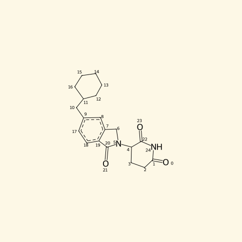 O=C1CCC(N2Cc3cc(CC4CCCCC4)ccc3C2=O)C(=O)N1